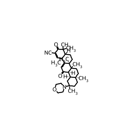 CC1(C)C(=O)C(C#N)=C[C@]2(C)C3=CC(=O)[C@@H]4[C@@H]5C[C@@](C)(N6CCOCC6)CC[C@]5(C)CC[C@@]4(C)[C@]3(C)CC[C@@H]12